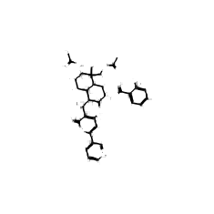 CC(=O)OCC1(C)C2C[C@H](OC(=O)c3ccccc3F)[C@@]3(C)Oc4cc(-c5cccnc5)oc(=O)c4[C@H](O)C3[C@@]2(C)CC[C@@H]1OC(C)=O